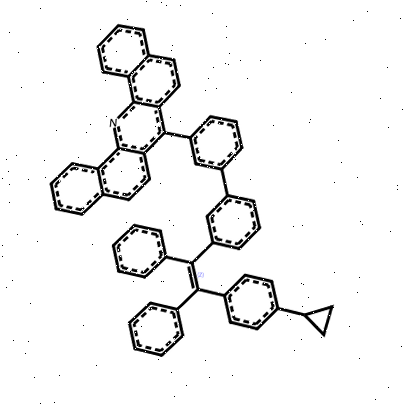 c1ccc(/C(=C(\c2ccccc2)c2cccc(-c3cccc(-c4c5ccc6ccccc6c5nc5c4ccc4ccccc45)c3)c2)c2ccc(C3CC3)cc2)cc1